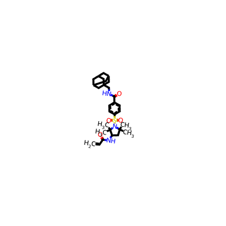 C=CC(=O)NC1CC(C)(C)N(S(=O)(=O)c2ccc(C(=O)NCC34CC5CC(CC(C5)C3)C4)cc2)C1(C)C